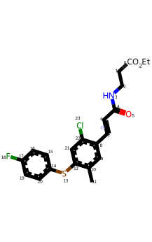 CCOC(=O)CCNC(=O)/C=C/c1cc(C)c(Sc2ccc(F)cc2)cc1Cl